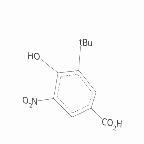 CC(C)(C)c1cc(C(=O)O)cc([N+](=O)[O-])c1O